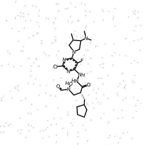 CC1CN(c2nc(Cl)nc(NNC(=O)[C@H](CC3CCCC3)CN(O)C=O)c2F)CC1N(C)C